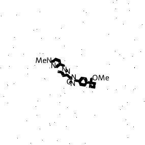 CNc1ccc(Cn2nc(-c3nc(-c4ccc(C5(COC)CCC5)cc4)no3)cc2C)cn1